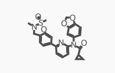 CN(Cc1ccc(-c2cccc(N(C(=O)C3CC3)c3ccc4c(c3)OCO4)n2)cc1)S(C)(=O)=O